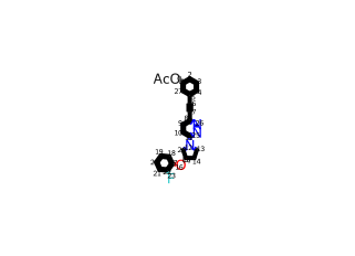 CC(=O)Oc1cccc(C#Cc2ccc(N3CC[C@H](Oc4ccccc4F)C3)nn2)c1